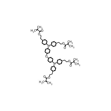 C=C(C)C(=O)OCCc1ccc(N(c2ccc(CCOC(=O)C(=C)C)cc2)c2ccc(Oc3ccc(N(c4ccc(CCOC(=O)C(=C)C)cc4)c4ccc(CCOC(=O)C(=C)C)cc4)cc3)cc2)cc1